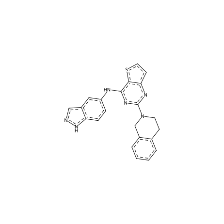 c1ccc2c(c1)CCN(c1nc(Nc3ccc4[nH]ncc4c3)c3sccc3n1)C2